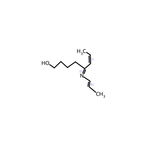 C\C=C/C(CCCCO)=N\C=C\C